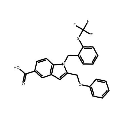 O=C(O)c1ccc2c(c1)cc(COc1ccccc1)n2Cc1ccccc1SC(F)(F)F